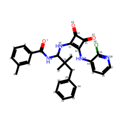 Cc1cccc(C(=O)NC(Nc2c(Nc3cccnc3Cl)c(=O)c2=O)C(C)(C)Cc2ccccc2)c1